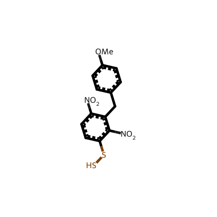 COc1ccc(Cc2c([N+](=O)[O-])ccc(SS)c2[N+](=O)[O-])cc1